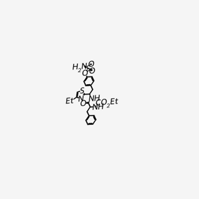 CCOC(=O)NC(Cc1ccccc1)C(=O)NC(Cc1ccc(OS(N)(=O)=O)cc1)c1nc(CC)cs1